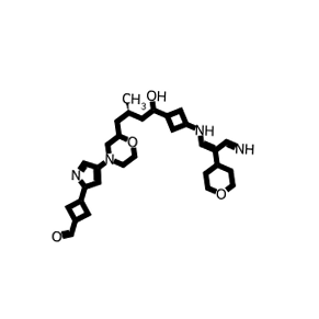 C[C@@H](CC1CN(C2=CC(C3CC(C=O)C3)N=C2)CCO1)CC(O)C1CC(N/C=C(\C=N)C2CCOCC2)C1